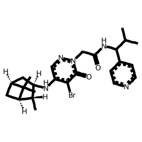 CC(C)C(NC(=O)Cn1ncc(N[C@@H]2C[C@@H]3C[C@H]([C@H]2C)C3(C)C)c(Br)c1=O)c1ccncc1